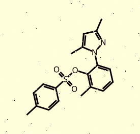 Cc1ccc(S(=O)(=O)Oc2c(C)cccc2-n2nc(C)cc2C)cc1